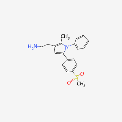 Cc1c(CCN)cc(-c2ccc(S(C)(=O)=O)cc2)n1-c1ccccc1